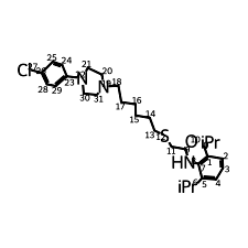 CC(C)c1cccc(C(C)C)c1NC(=O)CSCCCCCCN1CCN(c2ccc(Cl)cc2)CC1